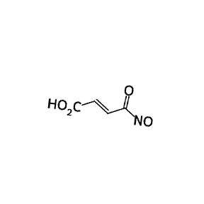 O=NC(=O)/C=C/C(=O)O